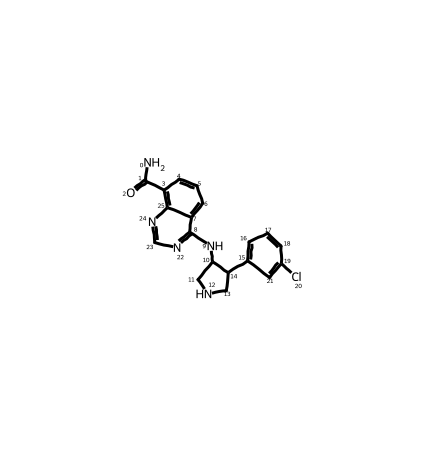 NC(=O)c1cccc2c(NC3CNCC3c3cccc(Cl)c3)ncnc12